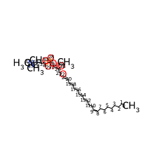 CCCCCCCC/C=C\CCCCCCCCCCCCOCC(COP(=O)(O)OCCC[N+](C)(C)C)OC